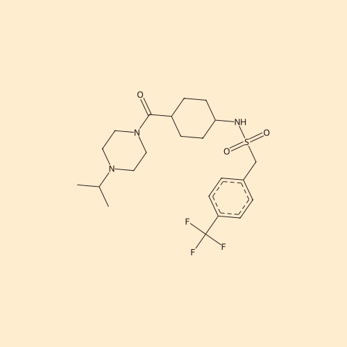 CC(C)N1CCN(C(=O)C2CCC(NS(=O)(=O)Cc3ccc(C(F)(F)F)cc3)CC2)CC1